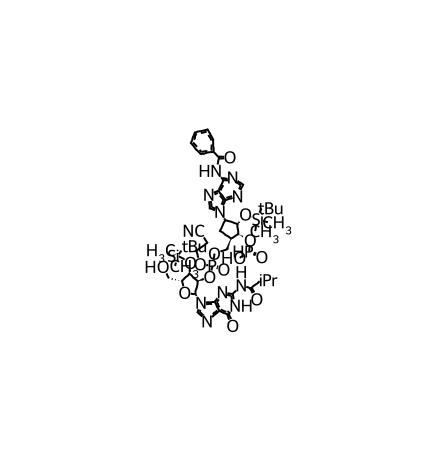 CC(C)C(=O)Nc1nc2c(ncn2[C@@H]2O[C@H](CO)[C@@H](O[Si](C)(C)C(C)(C)C)[C@H]2OP(=O)(OCCC#N)OC[C@H]2C[C@@H](n3cnc4c(NC(=O)c5ccccc5)ncnc43)[C@H](O[Si](C)(C)C(C)(C)C)[C@@H]2O[PH](=O)O)c(=O)[nH]1